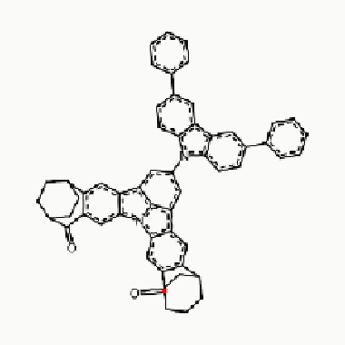 O=C1c2cc3c(cc2C2CCC1CC2)c1cc(-n2c4ccc(-c5ccccc5)cc4c4cc(-c5ccccc5)ccc42)cc2c4cc5c(cc4n3c12)C(=O)C1CCC5CC1